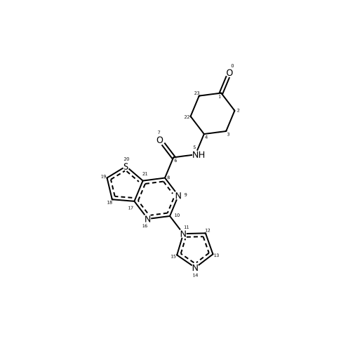 O=C1CCC(NC(=O)c2nc(-n3ccnc3)nc3ccsc23)CC1